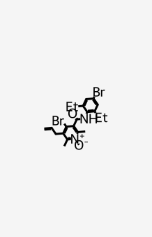 C=CCc1c(Br)c(C(=O)Nc2c(CC)cc(Br)cc2CC)c(C)[n+]([O-])c1C